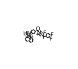 CC(c1cc(F)c(F)cc1F)N1CCN(C(=O)c2ccc(NS(=O)(=O)c3cccc4cccnc34)cc2)[C@H](C)C1